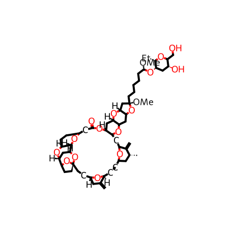 C=C1C2CC3OC4CC5O[C@](CCCCC[C@@H](OC)O[C@H]6C[C@@H](O)C(CO)O[C@H]6CC)(OC)C[C@H]5O[C@H]4C[C@H]3OC(=O)CC3CC[C@@H]4O[C@@H]5C[C@@H](O[C@]6(CCC5O6)CC[C@H]5CC(=C)[C@H](CCC(C[C@H]1C)O2)O5)[C@H]4O3